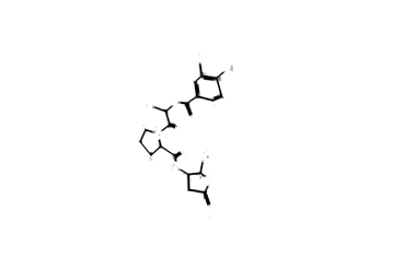 CC(C)(C)C(NC(=O)c1ccc(N)c(Cl)c1)C(=O)N1CCCC1C(=O)NC1CC(=O)OC1O